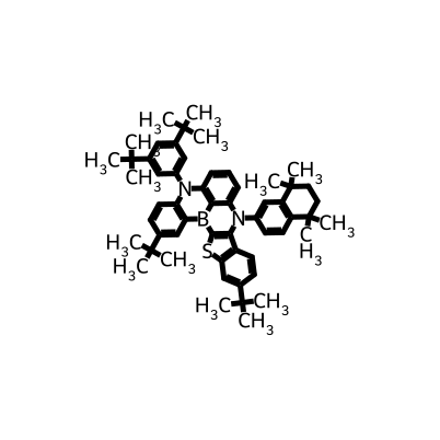 CC(C)(C)c1cc(N2c3ccc(C(C)(C)C)cc3B3c4sc5cc(C(C)(C)C)ccc5c4N(c4ccc5c(c4)C(C)(C)CCC5(C)C)c4cccc2c43)cc(C(C)(C)C)c1